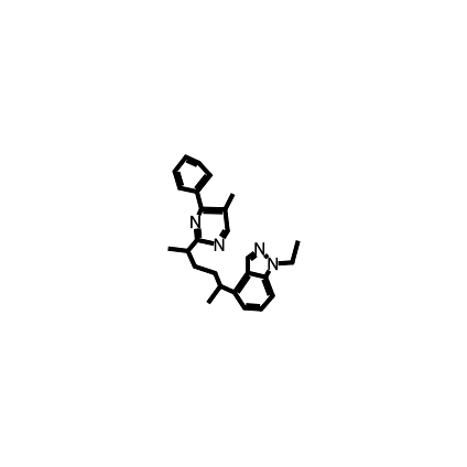 CCn1ncc2c(C(C)CCC(C)c3ncc(C)c(-c4ccccc4)n3)cccc21